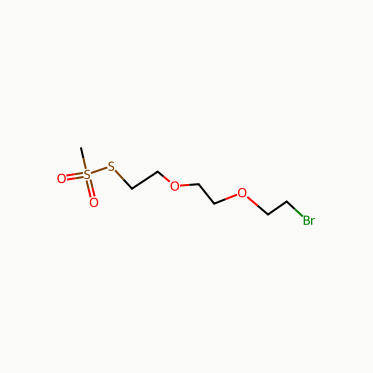 CS(=O)(=O)SCCOCCOCCBr